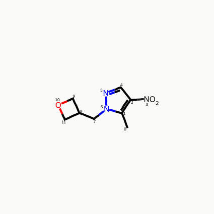 Cc1c([N+](=O)[O-])cnn1CC1COC1